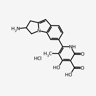 Cc1c(-c2ccc3cc4n(c3c2)CC(N)C4)[nH]c(=O)c(C(=O)O)c1O.Cl